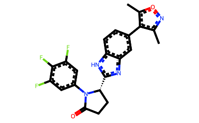 Cc1noc(C)c1-c1ccc2[nH]c([C@@H]3CCC(=O)N3c3cc(F)c(F)c(F)c3)nc2c1